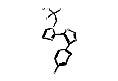 COC(F)(F)Cn1ccnc1-c1[nH]cnc1-c1ccc(F)cc1